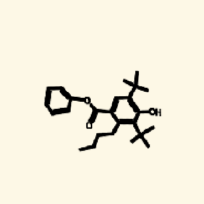 CCCCc1c(C(=O)Oc2ccccc2)cc(C(C)(C)C)c(O)c1C(C)(C)C